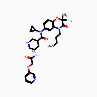 COCCCN1C(=O)C(C)(C)Oc2ccc(N(C(=O)C3CNC[C@@H](NC(=O)COc4cccnc4)C3)C3CC3)cc21